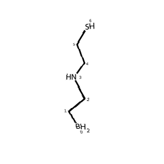 BCCNCCS